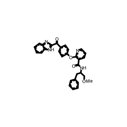 COCC(Cc1ccccc1)NC(=O)c1cccnc1Oc1ccc(C(=O)c2nc3ccccc3[nH]2)cc1